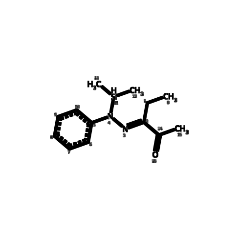 CCC(=NN(c1ccccc1)[SiH](C)C)C(C)=O